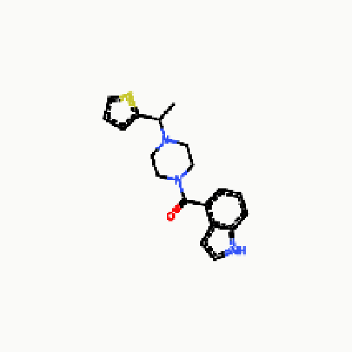 CC(c1cccs1)N1CCN(C(=O)c2cccc3[nH]ccc23)CC1